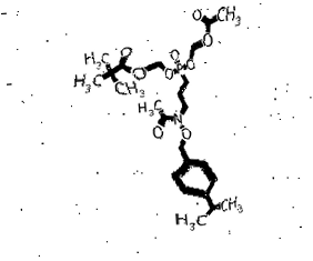 CC(=O)OCOP(=O)(CCCN(OCc1ccc(C(C)C)cc1)C(C)=O)OCOC(=O)C(C)(C)C